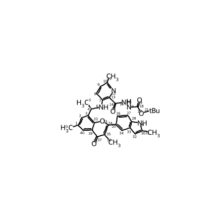 Cc1cc([C@@H](C)Nc2ccc(C)nc2C(=O)NNC(=O)OC(C)(C)C)c2oc(-c3ccc4[nH]c(C)cc4c3)c(C)c(=O)c2c1